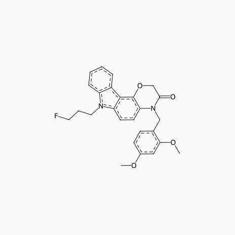 COc1ccc(CN2C(=O)COc3c2ccc2c3c3ccccc3n2CCCF)c(OC)c1